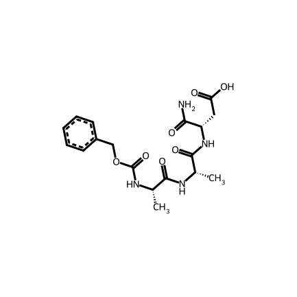 C[C@H](NC(=O)OCc1ccccc1)C(=O)N[C@@H](C)C(=O)N[C@@H](CC(=O)O)C(N)=O